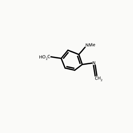 C=Nc1ccc(C(=O)O)cc1NC